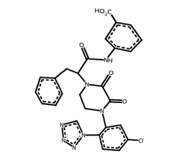 O=C(O)c1cccc(NC(=O)C(Cc2ccccc2)N2CCN(c3cc(Cl)ccc3-n3cnnn3)C(=O)C2=O)c1